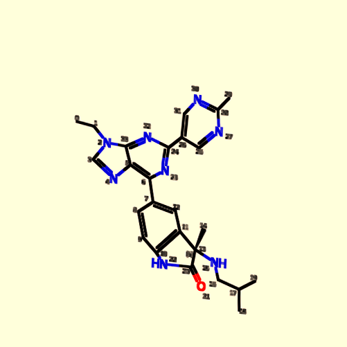 CCn1cnc2c(-c3ccc4c(c3)[C@](C)(NCC(C)C)C(=O)N4)nc(-c3cnc(C)nc3)nc21